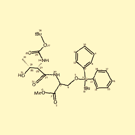 COC(=O)C(CO[Si](c1ccccc1)(c1ccccc1)C(C)(C)C)NC(=O)[C@@H](NC(=O)OC(C)(C)C)[C@@H](C)O